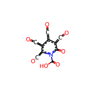 O=C=c1c(=C=O)c(=O)n(C(=O)O)c(=C=O)c1=C=O